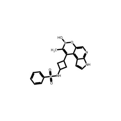 CC1=C(C2CC(NS(=O)(=O)c3ccccc3)C2)c2c(cnc3[nH]ccc23)OB1O